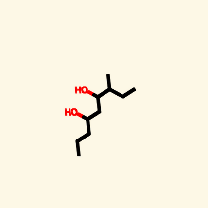 CCCC(O)CC(O)C(C)CC